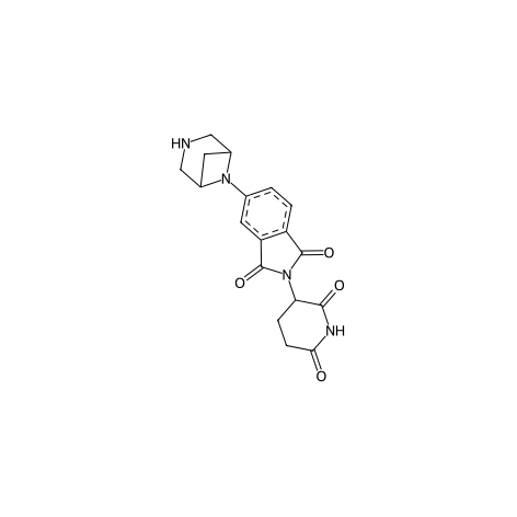 O=C1CCC(N2C(=O)c3ccc(N4C5CNCC4C5)cc3C2=O)C(=O)N1